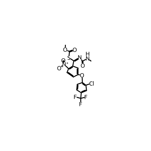 CNC(=O)N=C(SC(=O)OC)c1cc(Oc2ccc(C(F)(F)F)cc2Cl)ccc1[N+](=O)[O-]